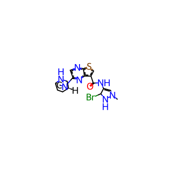 CN1C=C(NC(=O)c2csc3ncc(N4CC5CC[C@H]4CN5)nc23)C(Br)N1